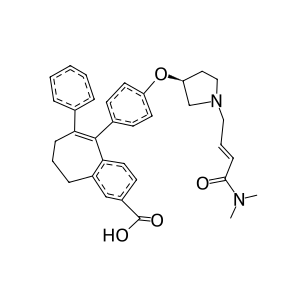 CN(C)C(=O)/C=C/CN1CC[C@H](Oc2ccc(C3=C(c4ccccc4)CCCc4cc(C(=O)O)ccc43)cc2)C1